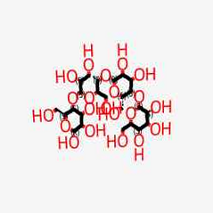 C[C@H](O[C@@H]1O[C@@H](CO)[C@@H](O[C@@H]2OC(CO)[C@@H](O)C(O)[C@@H]2O)C(O)C1O)C(CO)O[C@@H](O[C@H]1C(O)C(O)[C@H](O)O[C@H]1CO)[C@@H](O)CO